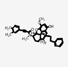 COc1cc(O)c2c3c1O[C@H]1[C@H](N(C)C(=O)C#Cc4ccc(C)c(C)c4)CC[C@H]4[C@@H](C2)N(CCc2ccccc2)CC[C@@]341